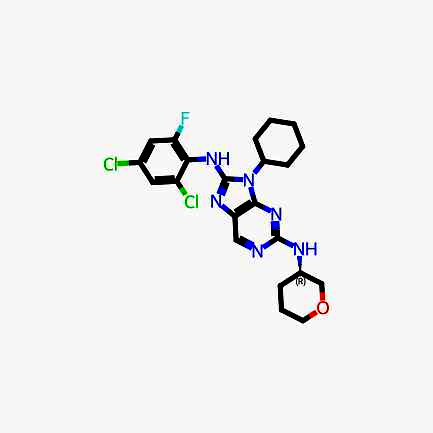 Fc1cc(Cl)cc(Cl)c1Nc1nc2cnc(N[C@@H]3CCCOC3)nc2n1C1CCCCC1